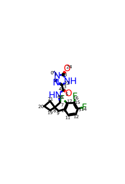 Cn1nc(C(=O)NCC2(Cc3ccc(F)c(F)c3F)CCC2)[nH]c1=O